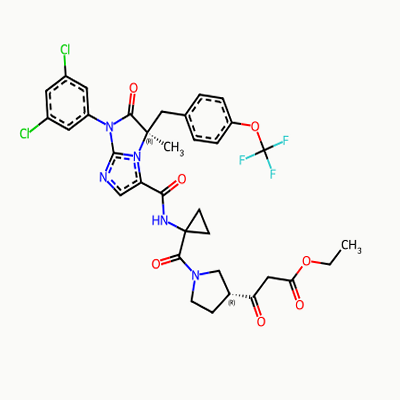 CCOC(=O)CC(=O)[C@@H]1CCN(C(=O)C2(NC(=O)c3cnc4n3[C@](C)(Cc3ccc(OC(F)(F)F)cc3)C(=O)N4c3cc(Cl)cc(Cl)c3)CC2)C1